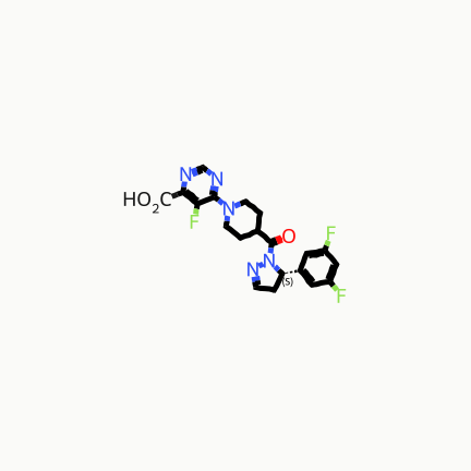 O=C(O)c1ncnc(N2CCC(C(=O)N3N=CC[C@H]3c3cc(F)cc(F)c3)CC2)c1F